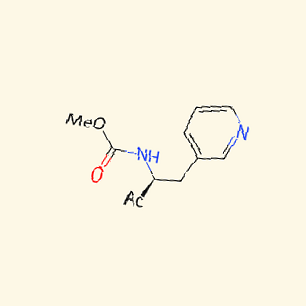 COC(=O)N[C@@H](Cc1cccnc1)C(C)=O